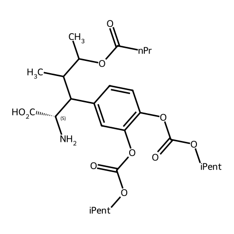 CCCC(=O)OC(C)C(C)C(c1ccc(OC(=O)OC(C)CCC)c(OC(=O)OC(C)CCC)c1)[C@H](N)C(=O)O